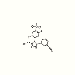 CS(=O)(=O)c1cc(F)c(-c2c(-c3cccc(C#N)c3)noc2CO)cc1F